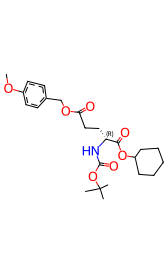 COc1ccc(COC(=O)CC[C@@H](NC(=O)OC(C)(C)C)C(=O)OC2CCCCC2)cc1